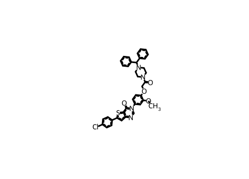 COc1cc(-n2cnc3cc(-c4ccc(Cl)cc4)sc3c2=O)ccc1OCC(=O)N1CCN(C(c2ccccc2)c2ccccc2)CC1